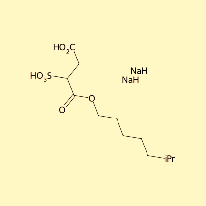 CC(C)CCCCCOC(=O)C(CC(=O)O)S(=O)(=O)O.[NaH].[NaH]